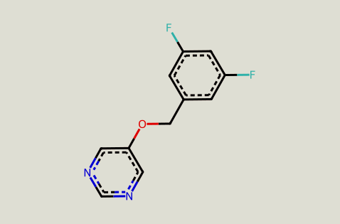 Fc1cc(F)cc(COc2cncnc2)c1